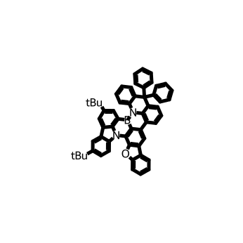 CC(C)(C)c1ccc2c(c1)c1cc(C(C)(C)C)cc3c1n2-c1c2c(cc4c1oc1ccccc14)-c1cccc4c1N(B23)c1ccccc1C4(c1ccccc1)c1ccccc1